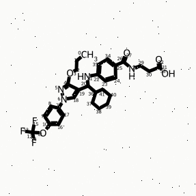 CCCOc1nn(-c2ccc(OC(F)(F)F)cc2)cc1C(Nc1ccc(C(=O)NCCC(=O)O)cc1)C1CCCCC1